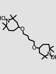 CC1(C)CCC(OCCCCOC2CCC(C)(C)N(O)C(C)(C)C2)CC(C)(C)N1O